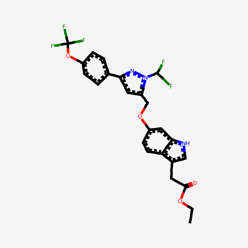 CCOC(=O)Cc1c[nH]c2cc(OCc3cc(-c4ccc(OC(F)(F)F)cc4)nn3C(F)F)ccc12